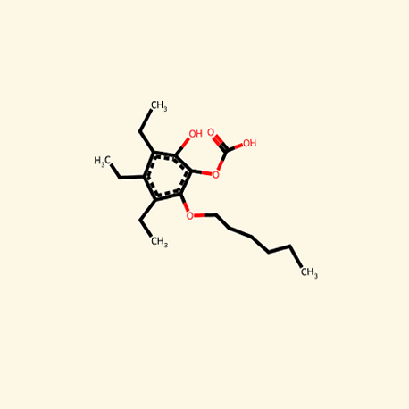 CCCCCCOc1c(CC)c(CC)c(CC)c(O)c1OC(=O)O